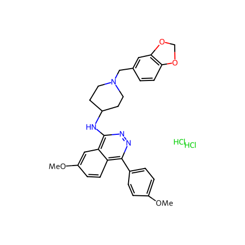 COc1ccc(-c2nnc(NC3CCN(Cc4ccc5c(c4)OCO5)CC3)c3cc(OC)ccc23)cc1.Cl.Cl